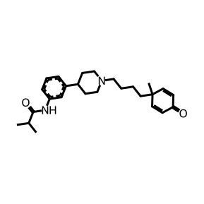 CC(C)C(=O)Nc1cccc(C2CCN(CCCCC3(C)C=CC(=O)C=C3)CC2)c1